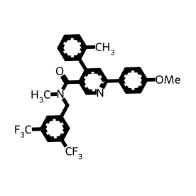 COc1ccc(-c2cc(-c3ccccc3C)c(C(=O)N(C)Cc3cc(C(F)(F)F)cc(C(F)(F)F)c3)cn2)cc1